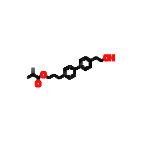 C=C(C)C(=O)OCCCc1ccc(-c2ccc(CCO)cc2)cc1